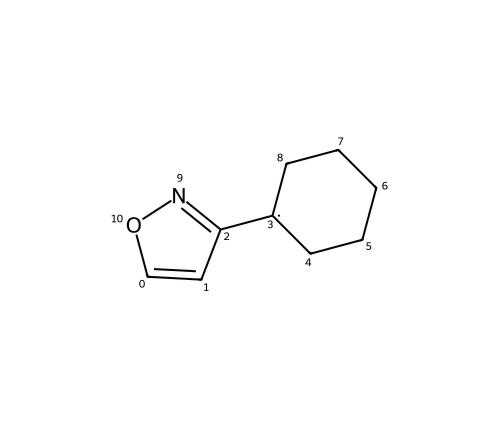 c1cc([C]2CCCCC2)no1